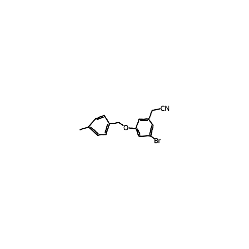 Cc1ccc(COc2cc(Br)cc(CC#N)c2)cc1